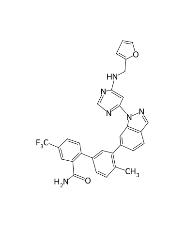 Cc1ccc(-c2ccc(C(F)(F)F)cc2C(N)=O)cc1-c1ccc2cnn(-c3cc(NCc4ccco4)ncn3)c2c1